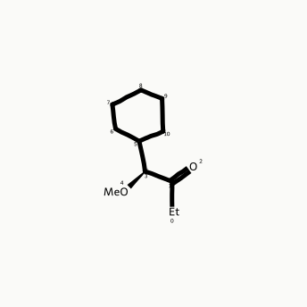 CCC(=O)[C@@H](OC)C1CCCCC1